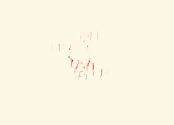 CC(C)CC(O)CC=CCO.CC=CC(O)CCCCO